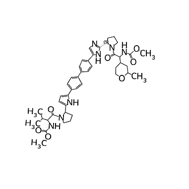 COC(=O)NC(C(=O)N1CCCC1c1ccc(-c2ccc(-c3ccc(-c4cnc([C@@H]5CCCN5C(=O)C(NC(=O)OC)C5CCOC(C)C5)[nH]4)cc3)cc2)[nH]1)C(C)C